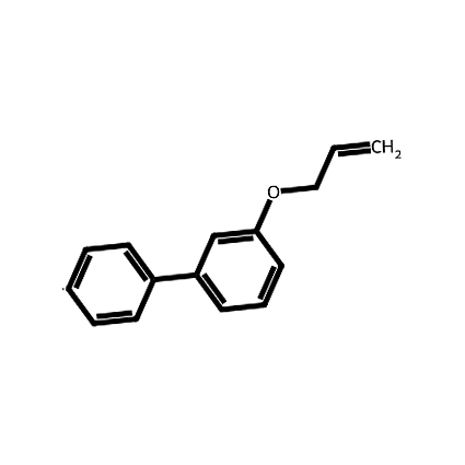 C=CCOc1cccc(-c2cc[c]cc2)c1